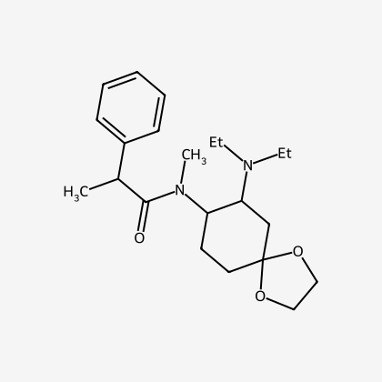 CCN(CC)C1CC2(CCC1N(C)C(=O)C(C)c1ccccc1)OCCO2